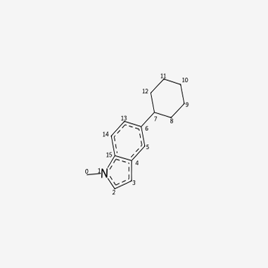 Cn1ccc2cc(C3CCCCC3)ccc21